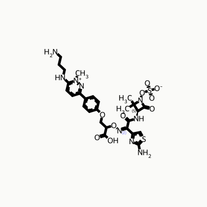 C[n+]1nc(-c2ccc(OCC(O/N=C(\C(=O)N[C@@H]3C(=O)N(OS(=O)(=O)[O-])C3(C)C)c3csc(N)n3)C(=O)O)cc2)ccc1NCCCN